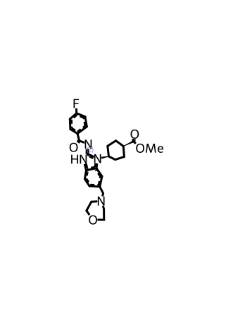 COC(=O)[C@H]1CC[C@@H](n2/c(=N/C(=O)c3ccc(F)cc3)[nH]c3ccc(CN4CCOCC4)cc32)CC1